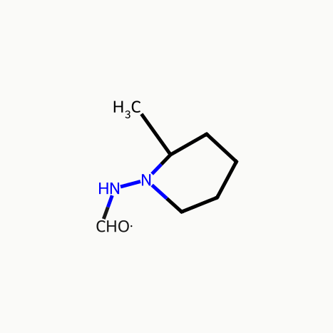 CC1CCCCN1N[C]=O